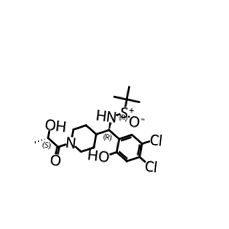 C[C@H](O)C(=O)N1CCC([C@@H](N[S@@+]([O-])C(C)(C)C)c2cc(Cl)c(Cl)cc2O)CC1